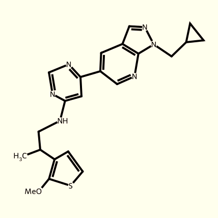 COc1sccc1C(C)CNc1cc(-c2cnc3c(cnn3CC3CC3)c2)ncn1